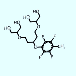 Cc1c(F)c(F)c(OC(CCOC(CO)CO)CCOC(CO)CO)c(F)c1F